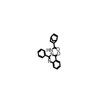 O=C(Nn1c(-c2ccccc2)nc2ccccc2c1=O)C1CC2C=CC1C2